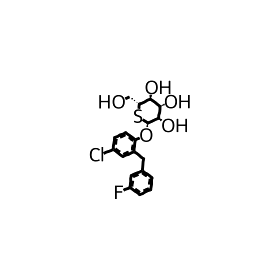 OC[C@H]1S[C@@H](Oc2ccc(Cl)cc2Cc2cccc(F)c2)[C@H](O)[C@@H](O)[C@@H]1O